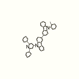 Cc1ccccc1-n1c2ccccc2c2cc(-c3ccc4c(c3)c3ccccc3n4-c3cc(-c4ccccc4)nc(-c4ccccc4)c3)ccc21